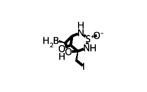 B[C@@H]1O[C@@]2(CI)N[S+]([O-])NC1C2O